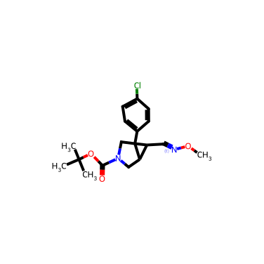 CO/N=C/C1C2CN(C(=O)OC(C)(C)C)CC12c1ccc(Cl)cc1